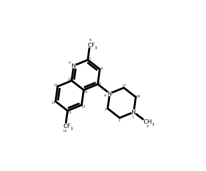 CN1CCN(c2cc(C(F)(F)F)nc3ccc(C(F)(F)F)cc23)CC1